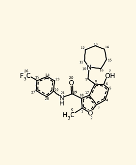 Cc1oc2ccc(O)c(CN3CCCCCC3)c2c1C(=O)Nc1ccc(C(F)(F)F)cc1